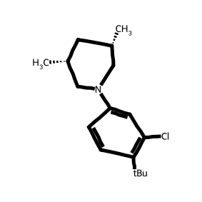 C[C@@H]1C[C@H](C)CN(c2ccc(C(C)(C)C)c(Cl)c2)C1